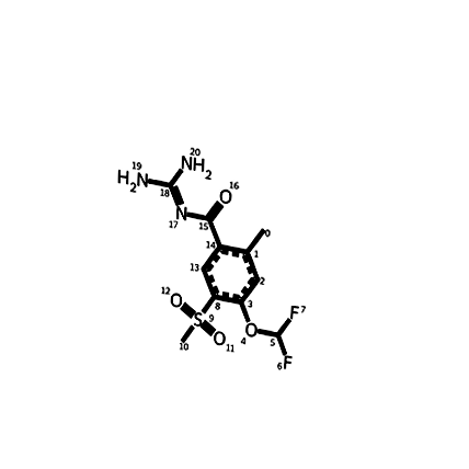 Cc1cc(OC(F)F)c(S(C)(=O)=O)cc1C(=O)N=C(N)N